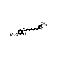 COc1ccc(OCCCCCCCc2cc(C)no2)c(Cl)c1